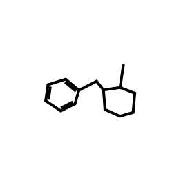 CC1CCCCC1Cc1ccccc1